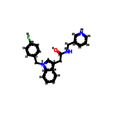 O=C(Cc1cn(Cc2ccc(F)cc2)c2ccccc12)NCc1cccnc1